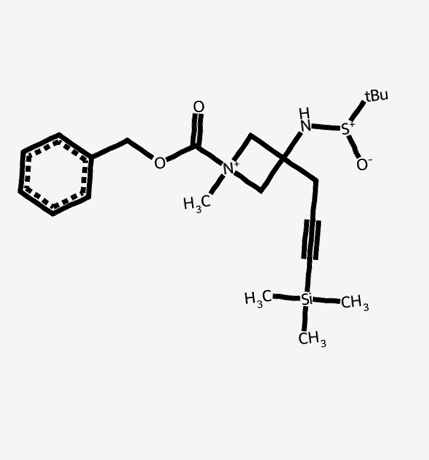 CC(C)(C)[S+]([O-])NC1(CC#C[Si](C)(C)C)C[N+](C)(C(=O)OCc2ccccc2)C1